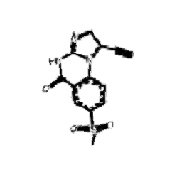 C#CC1CN=C2NC(=O)c3cc(S(C)(=O)=O)ccc3N21